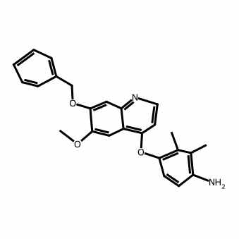 COc1cc2c(Oc3ccc(N)c(C)c3C)ccnc2cc1OCc1ccccc1